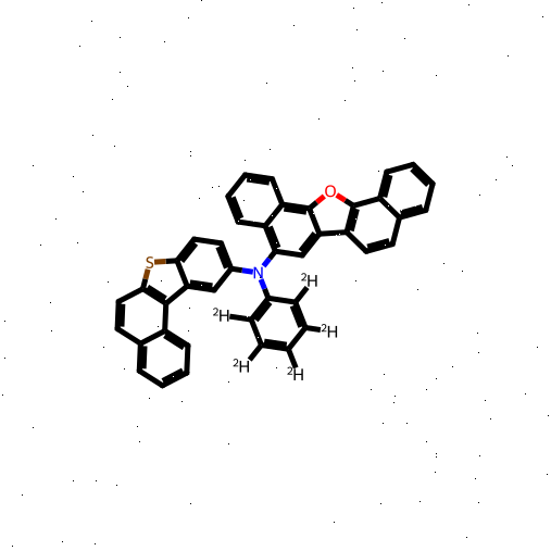 [2H]c1c([2H])c([2H])c(N(c2ccc3sc4ccc5ccccc5c4c3c2)c2cc3c4ccc5ccccc5c4oc3c3ccccc23)c([2H])c1[2H]